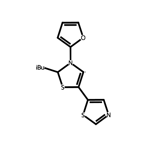 CCC(C)C1SC(c2cncs2)=[C]N1c1ccco1